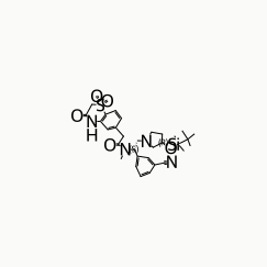 CN(C(=O)Cc1ccc2c(c1)NC(=O)CS2(=O)=O)[C@H](CN1CC[C@@H](O[Si](C)(C)C(C)(C)C)C1)c1cccc(C#N)c1